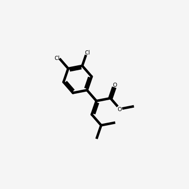 COC(=O)C(=CC(C)C)c1ccc(Cl)c(Cl)c1